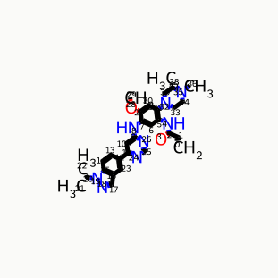 C=CC(=O)Nc1cc(Nc2cc(-c3ccc4c(cnn4C(C)C)c3)ncn2)c(OC)cc1N1CCN(C)[C@@H](C)C1